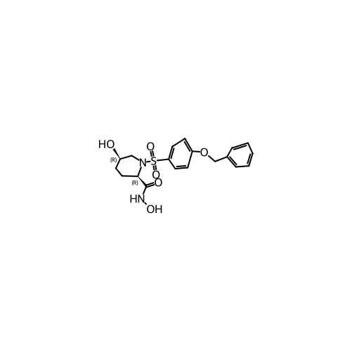 O=C(NO)[C@H]1CC[C@@H](O)CN1S(=O)(=O)c1ccc(OCc2ccccc2)cc1